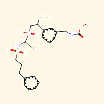 CC(C)C(NS(=O)(=O)CCCc1ccccc1)P(=O)(O)CC(C(=O)O)c1cccc(CNC(=O)OC(C)(C)C)c1